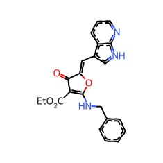 CCOC(=O)C1=C(NCc2ccccc2)OC(=Cc2c[nH]c3ncccc23)C1=O